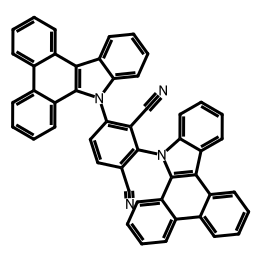 N#Cc1ccc(-n2c3ccccc3c3c4ccccc4c4ccccc4c32)c(C#N)c1-n1c2ccccc2c2c3ccccc3c3ccccc3c21